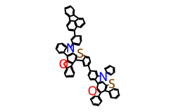 c1ccc(-n2c3cc(-c4ccc5sc6c(c5c4)c4c5ccccc5oc4c4c5ccccc5n(-c5cccc(-c7ccc8c9c(cccc79)-c7ccccc7-8)c5)c64)ccc3c3c4oc5ccccc5c4c4c5ccccc5sc4c32)cc1